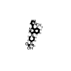 Cn1nccc1-c1nnc(N2CCC(N(I)C(=O)O)CC2)c2ccccc12